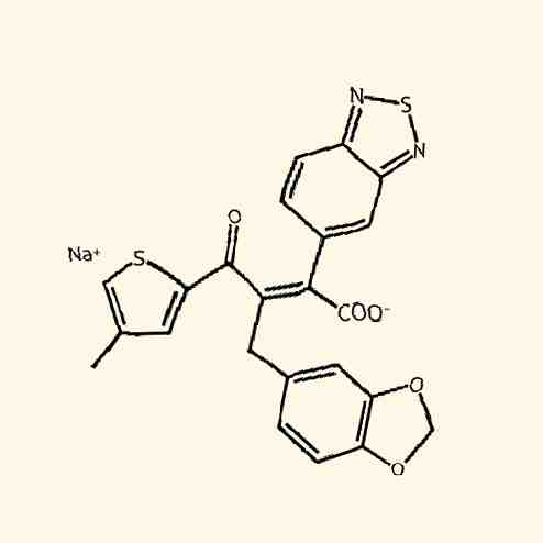 Cc1csc(C(=O)C(Cc2ccc3c(c2)OCO3)=C(C(=O)[O-])c2ccc3nsnc3c2)c1.[Na+]